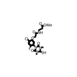 COC(=O)CCNC(=O)COc1cc(N2C(=O)N(C)C(S)N(C)C2=O)c(F)cc1Cl